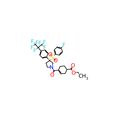 CCOC(=O)C1CC=C(C(=O)N2CC[C@](c3ccc(C(F)(C(F)(F)F)C(F)(F)F)cc3)(S(=O)(=O)c3ccc(F)cc3)C2)CC1